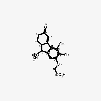 CCCC1c2cc(OCC(=O)O)c(Cl)c(Cl)c2C2=CC(=O)CCC21.[KH]